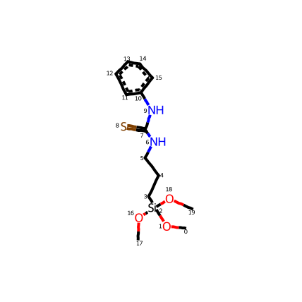 CO[Si](CCCNC(=S)Nc1ccccc1)(OC)OC